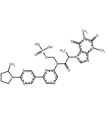 CC1CCCN1c1ncc(-c2cncc(N(COP(=O)(O)O)C(=O)C(C)n3cnc4c3c(=O)n(C)c(=O)n4C)n2)cn1